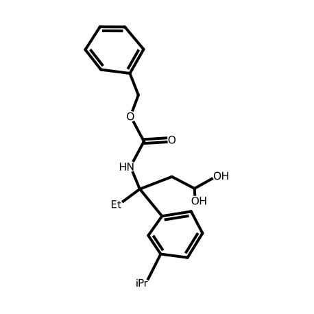 CCC(CC(O)O)(NC(=O)OCc1ccccc1)c1cccc(C(C)C)c1